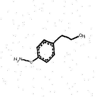 NOc1ccc(CCO)cc1